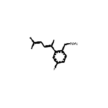 CNCc1ccc(F)cc1/C(C)=C/C=C(C)C